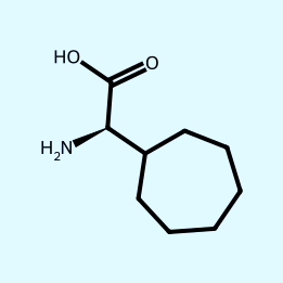 N[C@@H](C(=O)O)C1CCCCCC1